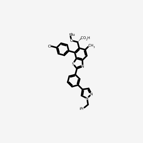 Cc1cc2nc(-c3cccc(-c4cnn(CC(C)C)c4)c3)sc2c(-c2ccc(Cl)cc2)c1[C@H](OC(C)(C)C)C(=O)O